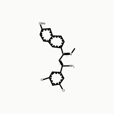 C/N=C(/C=C(\N)c1cc(Cl)cc(Cl)c1)c1ccc2cc(OC)ccc2c1